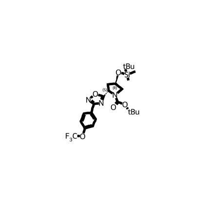 CC(C)(C)OC(=O)N1C[C@H](O[Si](C)(C)C(C)(C)C)C[C@H]1c1nc(-c2ccc(OC(F)(F)F)cc2)no1